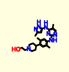 Cc1cc(Nc2nc(Nc3cc(C)c(C4CCN(CCO)CC4)cc3C)ncc2C)[nH]n1